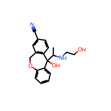 CC(NCCO)C1(O)c2ccc(C#N)cc2COc2ccccc21